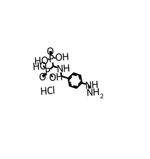 Cl.NNc1ccc(CNC(P(=O)(O)O)P(=O)(O)O)cc1